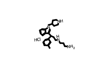 Cc1cccc(C(CCNCCCN)c2cn(CC3CCNCC3)c3ccccc23)c1.Cl